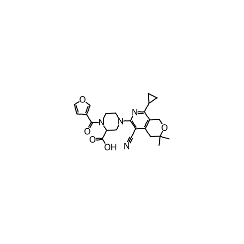 CC1(C)Cc2c(C#N)c(N3CCN(C(=O)c4ccoc4)C(C(=O)O)C3)nc(C3CC3)c2CO1